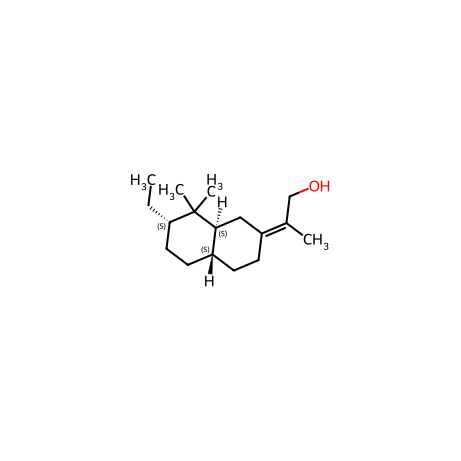 CC[C@H]1CC[C@H]2CCC(=C(C)CO)C[C@@H]2C1(C)C